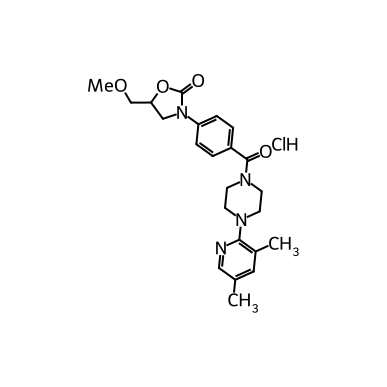 COCC1CN(c2ccc(C(=O)N3CCN(c4ncc(C)cc4C)CC3)cc2)C(=O)O1.Cl